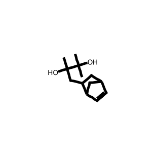 CC(C)(O)C(C)(O)CC1CC2C=CC1C2